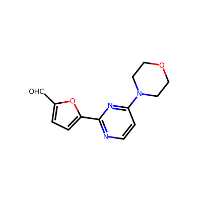 O=Cc1ccc(-c2nccc(N3CCOCC3)n2)o1